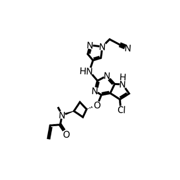 C=CC(=O)N(C)[C@H]1C[C@H](Oc2nc(Nc3cnn(CC#N)c3)nc3[nH]cc(Cl)c23)C1